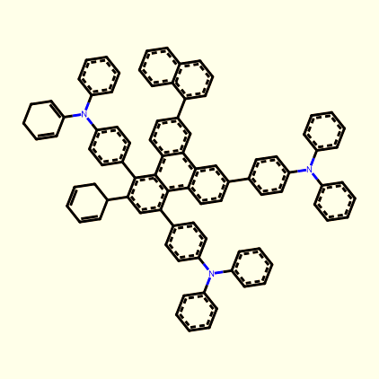 C1=CCC(c2cc(-c3ccc(N(c4ccccc4)c4ccccc4)cc3)c3c4ccc(-c5ccc(N(c6ccccc6)c6ccccc6)cc5)cc4c4cc(-c5cccc6ccccc56)ccc4c3c2-c2ccc(N(C3=CCCC=C3)c3ccccc3)cc2)C=C1